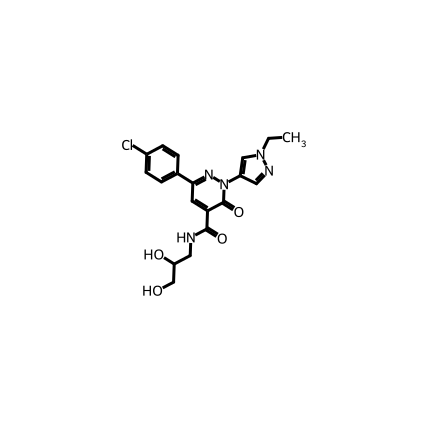 CCn1cc(-n2nc(-c3ccc(Cl)cc3)cc(C(=O)NCC(O)CO)c2=O)cn1